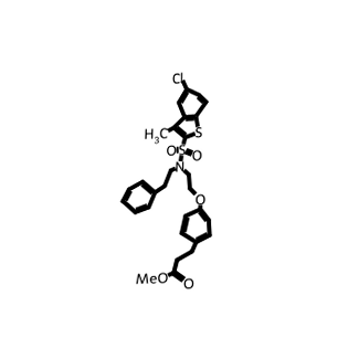 COC(=O)CCc1ccc(OCCN(CCc2ccccc2)S(=O)(=O)c2sc3ccc(Cl)cc3c2C)cc1